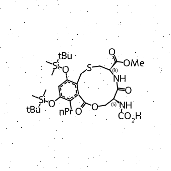 CCCc1c(O[Si](C)(C)C(C)(C)C)cc(O[Si](C)(C)C(C)(C)C)c2c1C(=O)OC[C@H](NC(=O)O)C(=O)N[C@H](C(=O)OC)CSC2